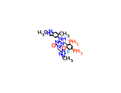 Cc1cc2nn(C)cc2cc1Nc1nc(=O)n(Cc2ncn(C)n2)c(=O)n1Cc1cc(F)c(P)cc1P